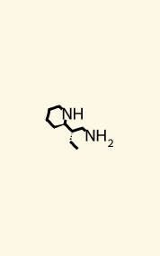 CC[C@@H](CN)[C@H]1CCCCN1